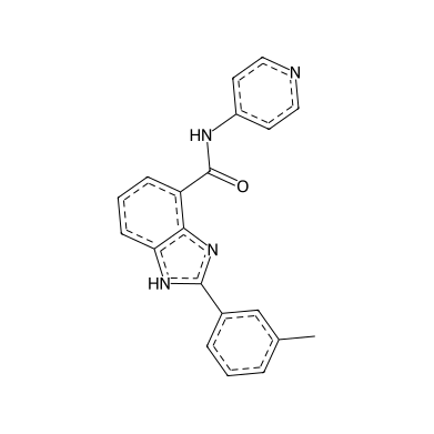 Cc1cccc(-c2nc3c(C(=O)Nc4ccncc4)cccc3[nH]2)c1